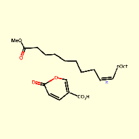 CCCCCCCC/C=C\CCCCCCCC(=O)OC.O=C(O)c1ccc(=O)oc1